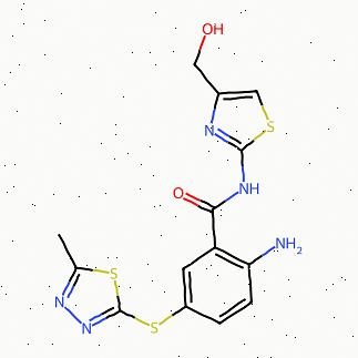 Cc1nnc(Sc2ccc(N)c(C(=O)Nc3nc(CO)cs3)c2)s1